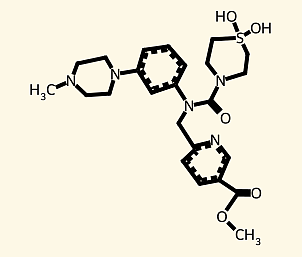 COC(=O)c1ccc(CN(C(=O)N2CCS(O)(O)CC2)c2cccc(N3CCN(C)CC3)c2)nc1